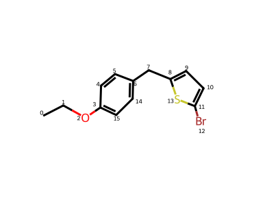 CCOc1ccc(Cc2ccc(Br)s2)cc1